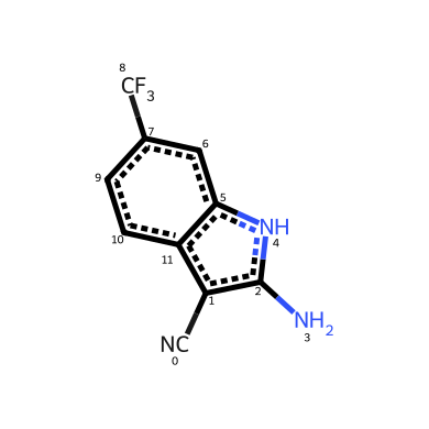 N#Cc1c(N)[nH]c2cc(C(F)(F)F)ccc12